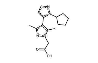 Cc1nn(CC(=O)O)c(C)c1-c1ccnn1C1CCCC1